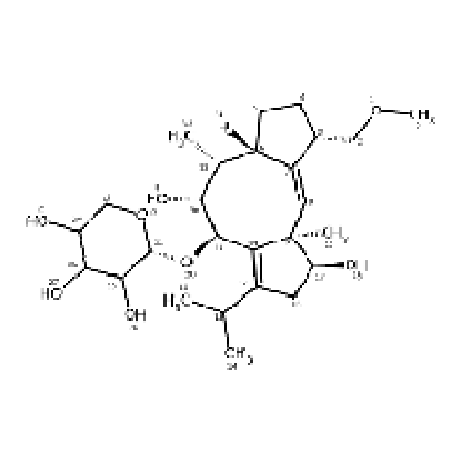 COC[C@H]1CC[C@@H]2/C1=C\[C@]1(C)C(=C(C(C)C)C[C@@H]1O)[C@@H](O[C@H]1OCC(O)C(O)C1O)[C@H](O)[C@@H]2C